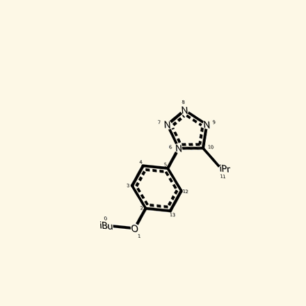 CCC(C)Oc1ccc(-n2nnnc2C(C)C)cc1